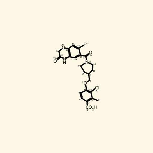 Cc1c(C(=O)O)ccc(OCC2CCN(C(=O)c3cc4c(cc3F)OCC(=O)N4)CC2)c1Cl